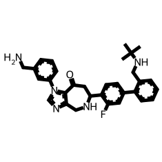 CC(C)(C)NCc1ccccc1-c1ccc(C2CC(=O)c3c(ncn3-c3cccc(CN)c3)CN2)c(F)c1